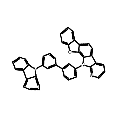 c1cc(-c2cccc(-n3c4ncccc4c4ccc5c6ccccc6oc5c43)c2)cc(-n2c3ccccc3c3ccccc32)c1